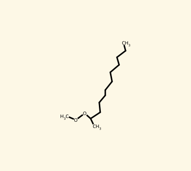 CCCCCCCCCCC(C)OOC